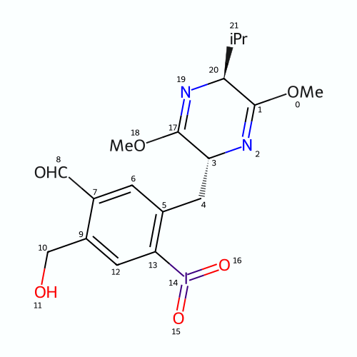 COC1=N[C@H](Cc2cc(C=O)c(CO)cc2I(=O)=O)C(OC)=N[C@H]1C(C)C